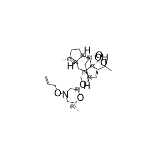 C=CCON1C[C@H](OC[C@@]23C[C@@H]4[C@H](C)CC[C@H]4[C@]4(C=O)C[C@@H]2C=C(C(C)C)[C@@]34C(=O)O)O[C@H](C)C1